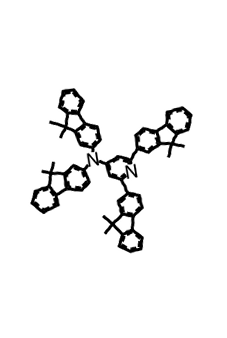 CC1(C)c2ccccc2-c2ccc(-c3cc(N(c4ccc5c(c4)C(C)(C)c4ccccc4-5)c4ccc5c(c4)C(C)(C)c4ccccc4-5)cc(-c4ccc5c(c4)C(C)(C)c4ccccc4-5)n3)cc21